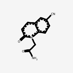 N#Cc1ccc2c(ccc(=O)n2CC(N)=O)c1